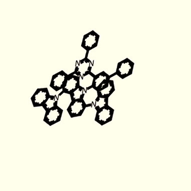 c1ccc(-c2ccc(-n3c4cccc(-n5c6ccccc6c6ccccc65)c4c4cccc(-n5c6ccccc6c6ccccc65)c43)c(-c3nc(-c4ccccc4)nc(-c4ccccc4)n3)c2)cc1